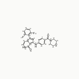 O=C(c1ccc(Nc2nc(-c3c(F)cccc3F)n3cc[nH]c(=O)c23)cc1)N1CCOCC1